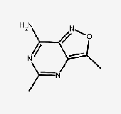 Cc1nc(N)c2noc(C)c2n1